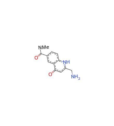 CNC(=O)c1ccc2[nH]c(CN)cc(=O)c2c1